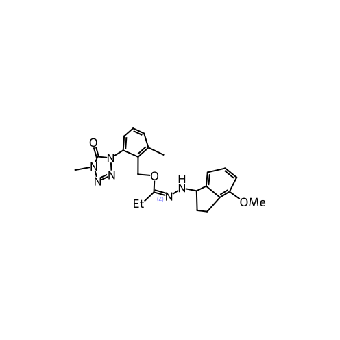 CC/C(=N/NC1CCc2c(OC)cccc21)OCc1c(C)cccc1-n1nnn(C)c1=O